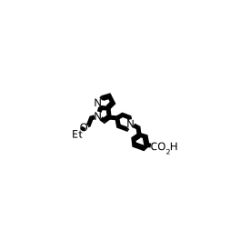 CCOCCn1cc(C2CCN(Cc3cccc(C(=O)O)c3)CC2)c2cccnc21